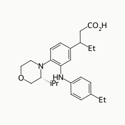 CCc1ccc(Nc2cc(C(CC)CC(=O)O)ccc2N2CCOC[C@H]2C(C)C)cc1